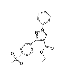 CCOC(=O)c1cn(-c2ccccc2)nc1-c1ccc(S(C)(=O)=O)cc1